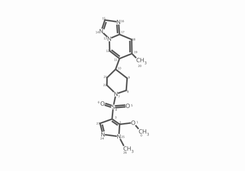 COc1c(S(=O)(=O)N2CCC(c3cn4ncnc4cc3C)CC2)cnn1C